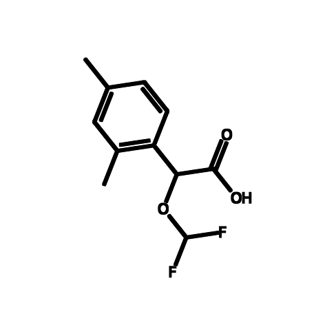 Cc1ccc(C(OC(F)F)C(=O)O)c(C)c1